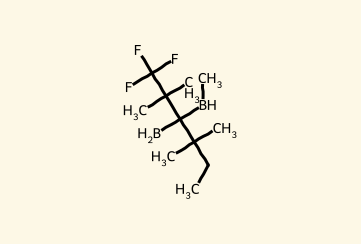 BC(BC)(C(C)(C)CC)C(C)(C)C(F)(F)F